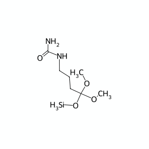 COC(CCCNC(N)=O)(OC)O[SiH3]